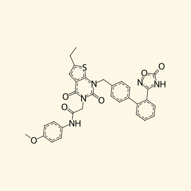 CCc1cc2c(=O)n(CC(=O)Nc3ccc(OC)cc3)c(=O)n(Cc3ccc(-c4ccccc4-c4noc(=O)[nH]4)cc3)c2s1